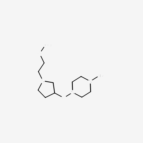 CC(C)(C)OCCN1CCC(ON2CCN(C(C)(C)C)CC2)C1